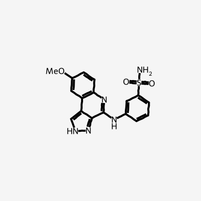 COc1ccc2nc(Nc3cccc(S(N)(=O)=O)c3)c3n[nH]cc3c2c1